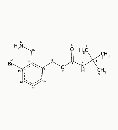 CC(C)(C)NC(=O)OCc1cccc(Br)c1CN